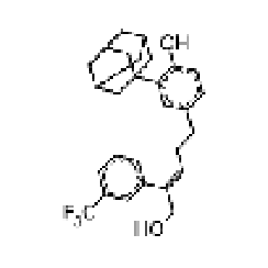 OCC(=CCCc1ccc(O)c(C23CC4CC(CC(C4)C2)C3)c1)c1cccc(C(F)(F)F)c1